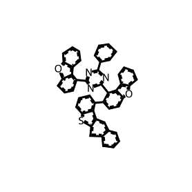 c1ccc(-c2nc(-c3cccc4oc5ccccc5c34)nc(-c3c(-c4cccc5sc6cc7ccccc7cc6c45)ccc4oc5ccccc5c34)n2)cc1